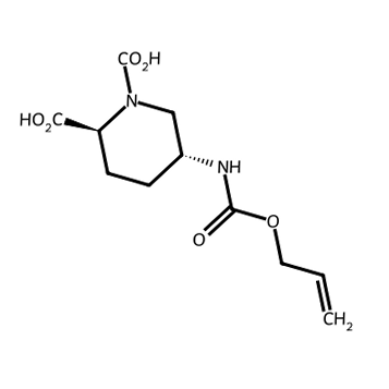 C=CCOC(=O)N[C@@H]1CC[C@@H](C(=O)O)N(C(=O)O)C1